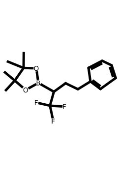 CC1(C)OB(C(CCc2ccccc2)C(F)(F)F)OC1(C)C